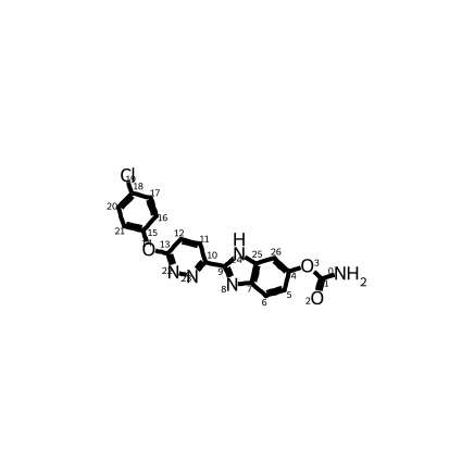 NC(=O)Oc1ccc2nc(-c3ccc(Oc4ccc(Cl)cc4)nn3)[nH]c2c1